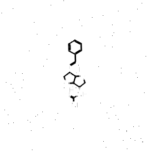 NC(=O)N[C@H]1CO[C@H]2[C@@H]1OC[C@@H]2C=Cc1ccccc1